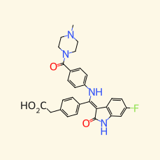 CN1CCN(C(=O)c2ccc(NC(=C3C(=O)Nc4cc(F)ccc43)c3ccc(CC(=O)O)cc3)cc2)CC1